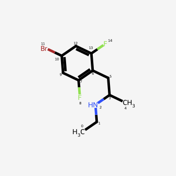 CCNC(C)Cc1c(F)cc(Br)cc1F